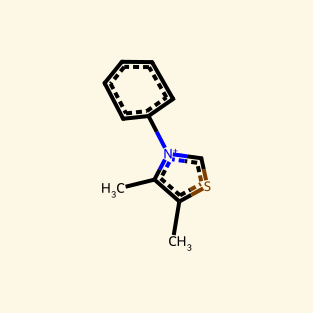 Cc1sc[n+](-c2ccccc2)c1C